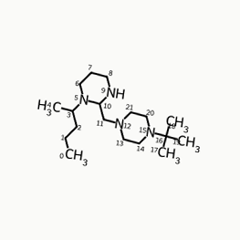 CCCC(C)N1CCCNC1CN1CCN(C(C)(C)C)CC1